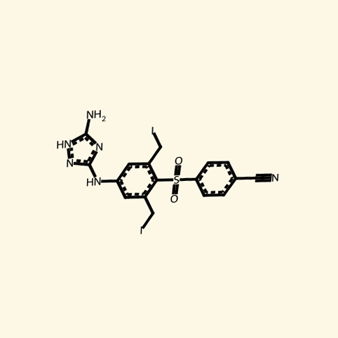 N#Cc1ccc(S(=O)(=O)c2c(CI)cc(Nc3n[nH]c(N)n3)cc2CI)cc1